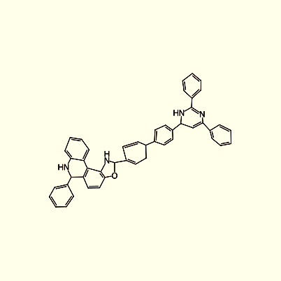 C1=CC(c2ccc(C3C=C(c4ccccc4)N=C(c4ccccc4)N3)cc2)CC=C1C1Nc2c(ccc3c2-c2ccccc2NC3c2ccccc2)O1